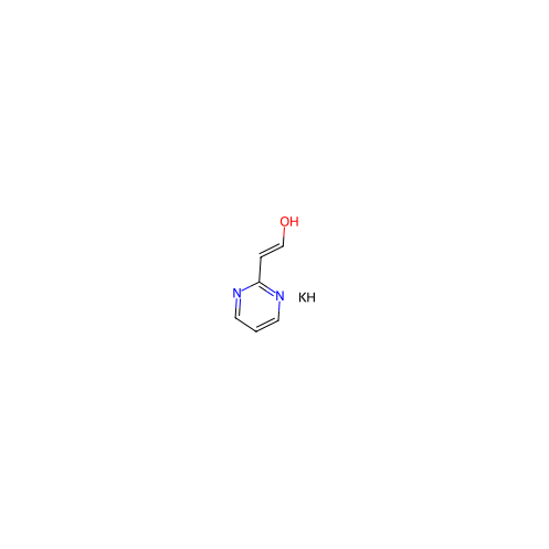 OC=Cc1ncccn1.[KH]